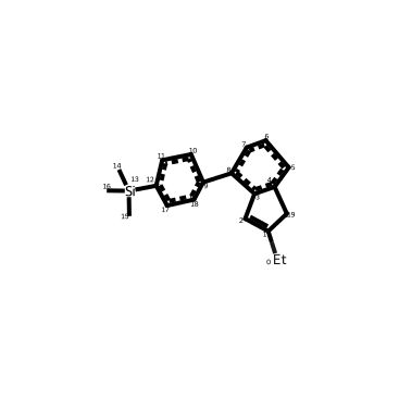 CCC1=Cc2c(cccc2-c2ccc([Si](C)(C)C)cc2)[CH]1